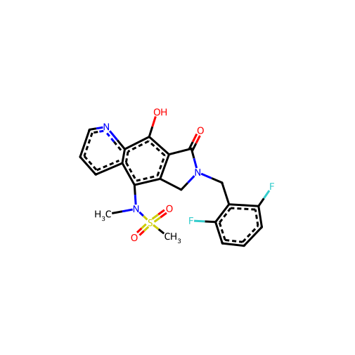 CN(c1c2c(c(O)c3ncccc13)C(=O)N(Cc1c(F)cccc1F)C2)S(C)(=O)=O